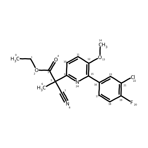 CCOC(=O)C(C)(C#N)c1ccc(OC)c(-c2ccc(F)c(Cl)c2)n1